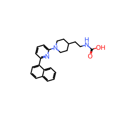 O=C(O)NCCC1CCN(c2cccc(-c3cccc4ccccc34)n2)CC1